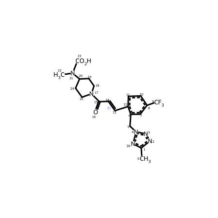 Cc1nnn(Cc2cc(C(F)(F)F)ccc2/C=C/C(=O)N2CCC(N(C)C(=O)O)CC2)n1